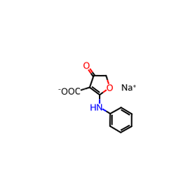 O=C([O-])C1=C(Nc2ccccc2)OCC1=O.[Na+]